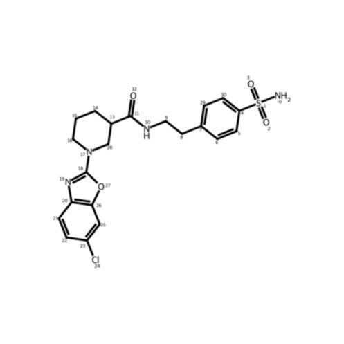 NS(=O)(=O)c1ccc(CCNC(=O)C2CCCN(c3nc4ccc(Cl)cc4o3)C2)cc1